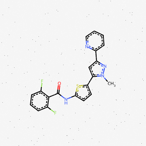 Cn1nc(-c2ccccn2)cc1-c1ccc(NC(=O)c2c(F)cccc2F)s1